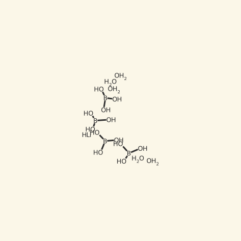 O.O.O.O.O.OB(O)O.OB(O)O.OB(O)O.OB(O)O.[LiH]